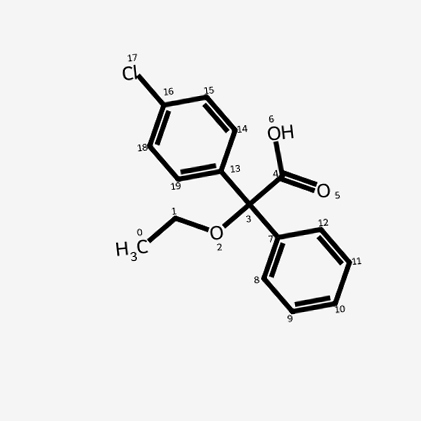 CCOC(C(=O)O)(c1ccccc1)c1ccc(Cl)cc1